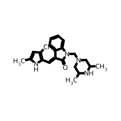 Cc1cc(C)c(C=C2C(=O)N(CN3CC(C)NC(C)C3)c3ccccc32)[nH]1